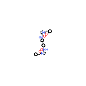 O=C(Nc1ccc(-c2ccc(NC(=O)[C@@H]3CCCN3C(=O)Cc3ccccc3)cc2)cc1)[C@@H]1CCCN1C(=O)Cc1ccccc1